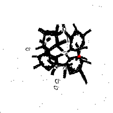 CC1=C(C)[C]([Ti+3])([Si](c2c(N(C)C)cc(C)c(C)c2N(C)C)(c2c(N(C)C)cc(C)c(C)c2N(C)C)c2c(N(C)C)cc(C)c(C)c2N(C)C)C(C)=C1C.[Cl-].[Cl-].[Cl-]